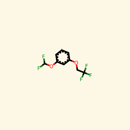 FC(F)Oc1c[c]cc(OCC(F)(F)F)c1